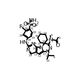 CC(=O)N(C)C1=NN(C(C)C)c2cc3cnc(Nc4ccc(S(N)(=O)=O)c(F)c4)nc3n2C12CCCCC2